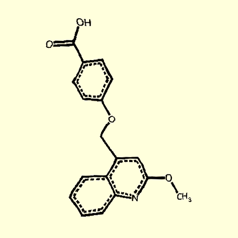 COc1cc(COc2ccc(C(=O)O)cc2)c2ccccc2n1